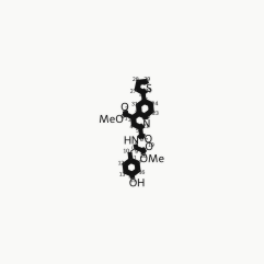 COC(=O)c1cc(C(=O)N[C@@H](Cc2ccc(O)cc2)C(=O)OC)nc2ccc(-c3cccs3)cc12